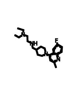 CCN(CC)CCNCC1CCN(c2cc(C)nc3ccc(F)cc23)CC1